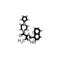 Cc1nc(-c2c(O)ccc3ccccc23)sc1C(=O)N1CCN(C2CCCC2)CC1